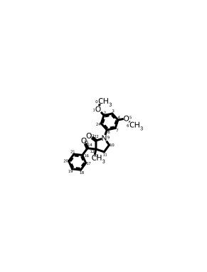 COc1cc(OC)cc(N2CCC(C)(C(=O)c3ccccc3)C2=O)c1